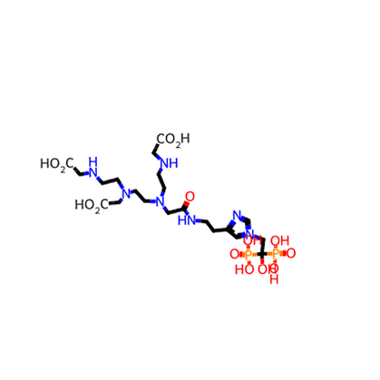 O=C(O)CNCCN(CCN(CCNCC(=O)O)CC(=O)NCCc1cn(CC(O)(P(=O)(O)O)P(=O)(O)O)cn1)CC(=O)O